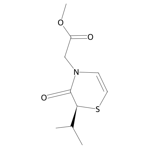 COC(=O)CN1C=CS[C@@H](C(C)C)C1=O